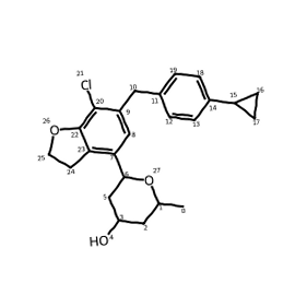 CC1CC(O)CC(c2cc(Cc3ccc(C4CC4)cc3)c(Cl)c3c2CCO3)O1